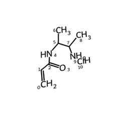 C=CC(=O)NC(C)C(C)N.Cl